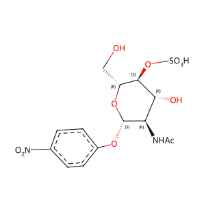 CC(=O)N[C@H]1[C@H](Oc2ccc([N+](=O)[O-])cc2)O[C@H](CO)[C@@H](OS(=O)(=O)O)[C@@H]1O